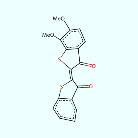 COc1ccc2c(c1OC)SC(=C1Sc3ccccc3C1=O)C2=O